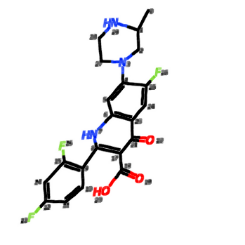 CC1CN(c2cc3[nH]c(-c4ccc(F)cc4F)c(C(=O)O)c(=O)c3cc2F)CCN1